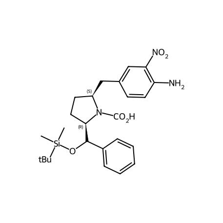 CC(C)(C)[Si](C)(C)OC(c1ccccc1)[C@H]1CC[C@@H](Cc2ccc(N)c([N+](=O)[O-])c2)N1C(=O)O